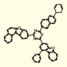 C1=CCC(c2ccc3cc(-c4nc(-c5ccc6c(c5)oc5ccc7ccccc7c56)nc(-c5cc(-c6ccccc6)c6c(c5)oc5ccccc56)n4)ccc3c2)C=C1